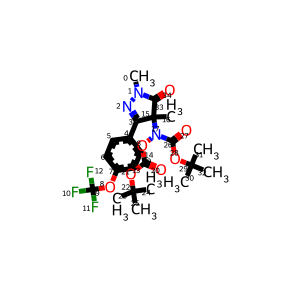 CN1N=C(c2ccc(OC(F)(F)F)cc2)C(C)(N(OC(=O)OC(C)(C)C)C(=O)OC(C)(C)C)C1=O